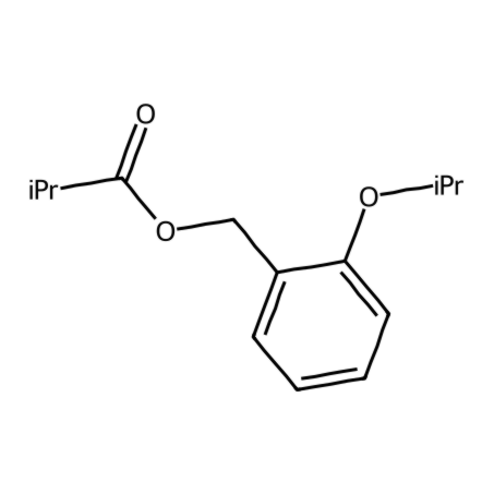 CC(C)Oc1ccccc1COC(=O)C(C)C